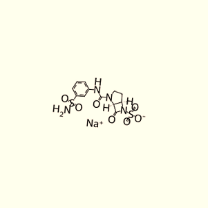 NS(=O)(=O)c1cccc(NC(=O)N2CC[C@@H]3[C@H]2C(=O)N3S(=O)(=O)[O-])c1.[Na+]